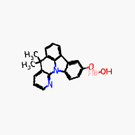 CC1(C)c2cccnc2-n2c3ccc(OBO)cc3c3cccc1c32